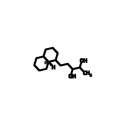 CC(O)C(O)CCC1CCCC2CCCC[C@H]21